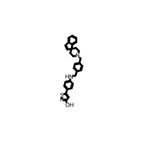 Oc1cc(-c2ccc(NCc3ccc(CN4CCC5(C=Cc6ccccc65)CC4)cc3)cc2)sn1